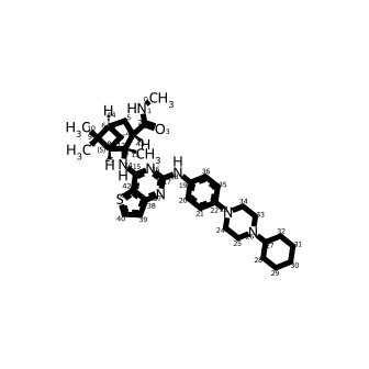 CNC(=O)[C@H]1C[C@H]2C[C@@H](C2(C)C)[C@@]1(C)Nc1nc(Nc2ccc(N3CCN(C4CCCCC4)CC3)cc2)nc2ccsc12